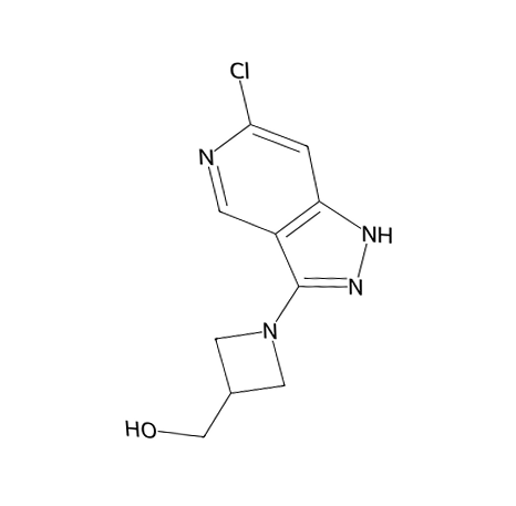 OCC1CN(c2n[nH]c3cc(Cl)ncc23)C1